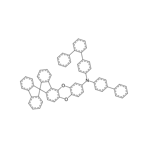 c1ccc(-c2ccc(N(c3ccc(-c4ccccc4-c4ccccc4)cc3)c3ccc4c(c3)Oc3c(ccc5c3-c3ccccc3C53c5ccccc5-c5ccccc53)O4)cc2)cc1